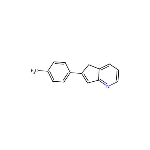 FC(F)(F)c1ccc(C2=Cc3ncccc3C2)cc1